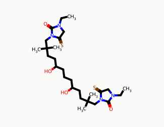 CCN1CC(=S)N(CC(C)(C)CCC(O)CCCC(O)CCC(C)(C)CN2C(=O)N(CC)CC2=S)C1=O